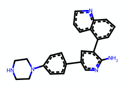 Nc1ncc(-c2ccc(N3CCNCC3)cc2)cc1-c1cccc2ncccc12